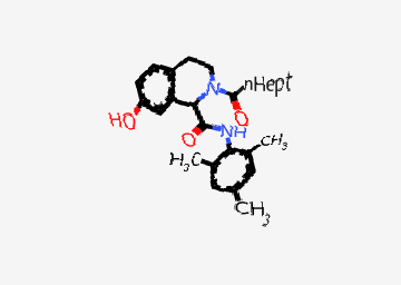 CCCCCCCC(=O)N1CCc2ccc(O)cc2C1C(=O)Nc1c(C)cc(C)cc1C